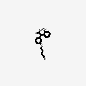 N#CCCCOc1cccc(C(C(=O)O)c2cc[c]cc2O)c1